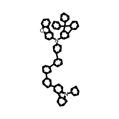 c1ccc(-n2c3ccccc3c3cc(-c4cccc(-c5cccc(-c6cccc(-c7ccc(N(c8ccc9c(c8)C(c8ccccc8)(c8ccccc8)c8ccccc8-9)c8ccc9oc%10ccccc%10c9c8)cc7)c6)c5)c4)ccc32)cc1